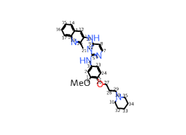 COc1cc(Nc2nccc(Nc3cc4ccccc4nc3C)n2)ccc1OCCCN1CCCCC1